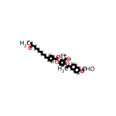 C=CC(=O)CCCCCCCCc1ccc(C(=O)Oc2ccc(OC(=C)C3CCC4CC(OC=O)CCC4C3)c(C(=O)CC)c2)cc1